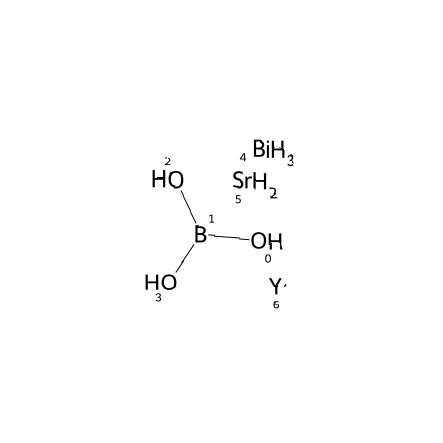 OB(O)O.[BiH3].[SrH2].[Y]